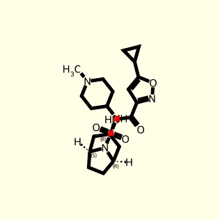 CN1CCC(NS(=O)(=O)N2[C@@H]3CC[C@H]2C[C@@H](NC(=O)c2cc(C4CC4)on2)C3)CC1